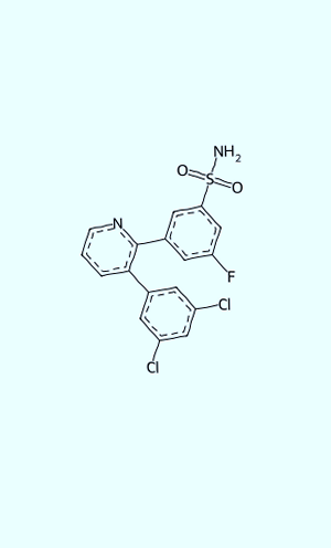 NS(=O)(=O)c1cc(F)cc(-c2ncccc2-c2cc(Cl)cc(Cl)c2)c1